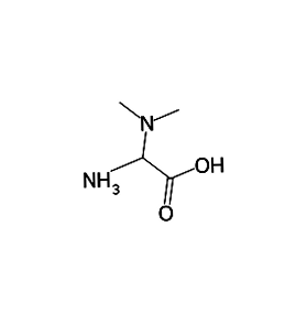 CC(C(=O)O)N(C)C.N